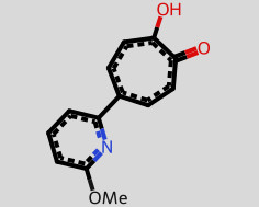 COc1cccc(-c2ccc(O)c(=O)cc2)n1